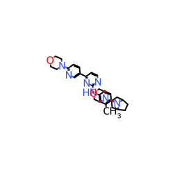 Cc1cc(Nc2nccc(-c3ccc(N4CCOCC4)nc3)n2)ccc1N1C2CCC1CC(N1CCOCC1)C2